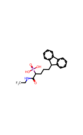 O=C(NCC(F)(F)F)C(CCCC1c2ccccc2-c2ccccc21)P(=O)(O)O